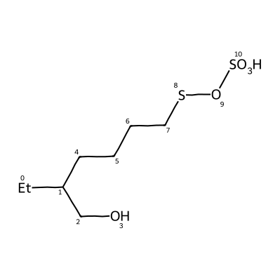 CCC(CO)CCCCSOS(=O)(=O)O